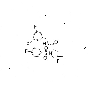 CC1(F)C[C@@H](C(=O)NCc2cc(F)cc(Br)c2)N(S(=O)(=O)c2ccc(F)cc2)C1